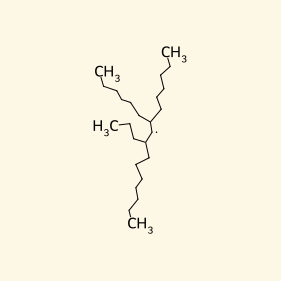 CCCCCCCC([CH]C(CCCCCC)CCCCCC)CCC